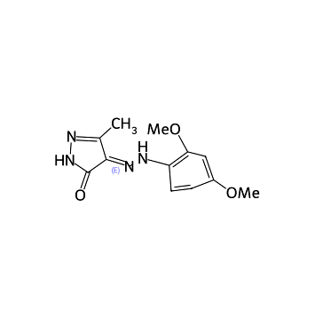 COc1ccc(N/N=C2/C(=O)NN=C2C)c(OC)c1